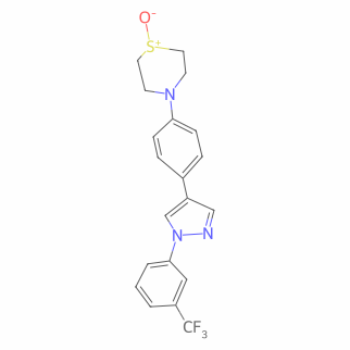 [O-][S+]1CCN(c2ccc(-c3cnn(-c4cccc(C(F)(F)F)c4)c3)cc2)CC1